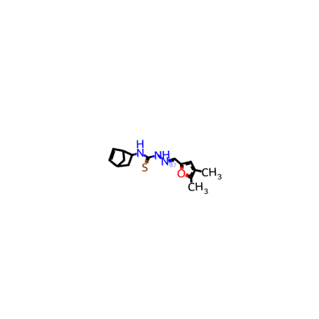 Cc1cc(/C=N/NC(=S)NC2CC3C=CC2C3)oc1C